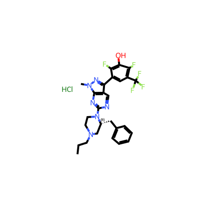 CCCN1CCN(c2ncc3c(-c4cc(C(F)(F)F)c(F)c(O)c4F)nn(C)c3n2)[C@H](Cc2ccccc2)C1.Cl